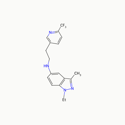 CCn1nc(C)c2cc(NCCc3ccc(C(F)(F)F)nc3)ccc21